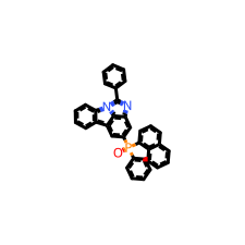 O=P(c1ccccc1)(c1cc2nc(-c3ccccc3)n3c4ccccc4c(c1)c23)c1cccc2ccccc12